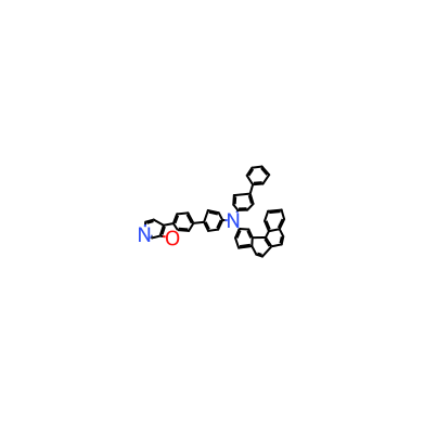 c1ccc(-c2ccc(N(c3ccc(-c4ccc5c(c4)oc4cnccc45)cc3)c3ccc4ccc5ccc6ccccc6c5c4c3)cc2)cc1